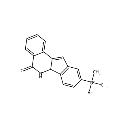 CC(=O)[N+](C)(C)c1ccc2c(c1)C=C1c3ccccc3C(=O)NC12